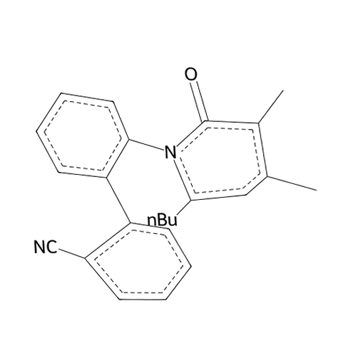 CCCCc1cc(C)c(C)c(=O)n1-c1ccccc1-c1ccccc1C#N